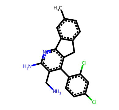 Cc1ccc2c(c1)-c1nc(N)c(CN)c(-c3ccc(Cl)cc3Cl)c1C2